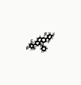 Fc1cc(F)c(-c2cc3ccc4cc(-c5c(F)cc(F)cc5F)cc5c4c3c(c2)n5-c2ccccc2)c(F)c1